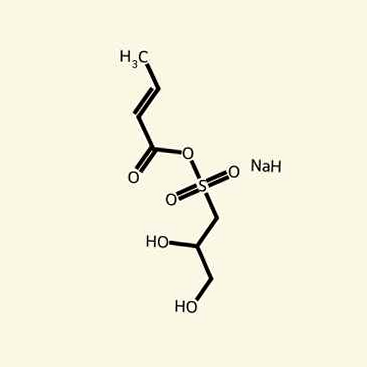 CC=CC(=O)OS(=O)(=O)CC(O)CO.[NaH]